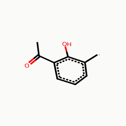 [CH2]c1cccc(C(C)=O)c1O